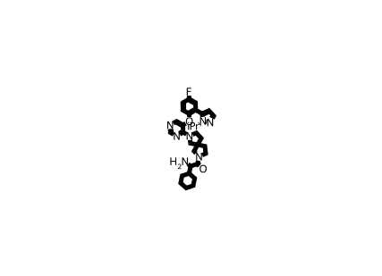 CC(C)n1nccc1-c1cc(F)ccc1Oc1cncnc1N1CCC2(CCN(C(=O)C(N)C3CCCCC3)C2)C1